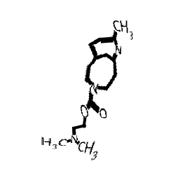 CC1=CC=C2CCN(C(=O)OCCN(C)C)CCC(=N1)C2